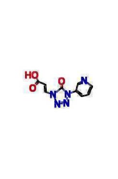 O=C(O)C=Cn1nnn(-c2cccnc2)c1=O